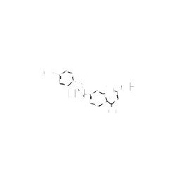 O=c1cc(C(F)(F)F)oc2cc(NCc3ccc(Cl)cc3)ccc12